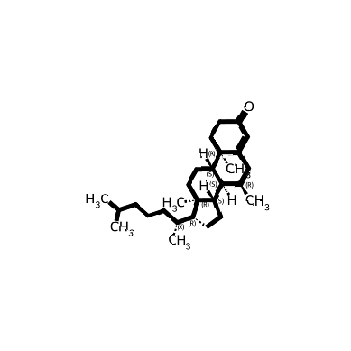 CC(C)CCC[C@@H](C)[C@H]1CC[C@H]2[C@@H]3[C@H](C)CC4=CC(=O)CC[C@]4(C)[C@H]3CC[C@]12C